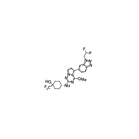 COc1nc(N[C@H]2CC[C@](O)(C(F)(F)F)CC2)nn2ccc(-c3ccc4nnn(CC(F)F)c4c3)c12